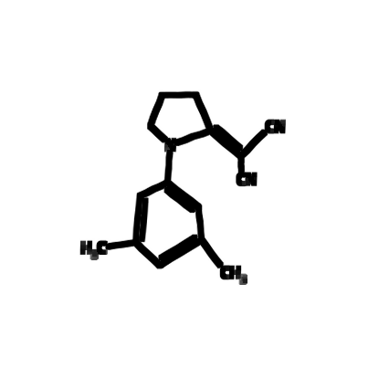 Cc1cc(C)cc(N2CCCC2=C(C#N)C#N)c1